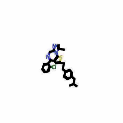 Cc1cnc2n1-c1sc(CCc3ccc(CC(C)C)cc3)cc1C(c1ccccc1Cl)=NC2